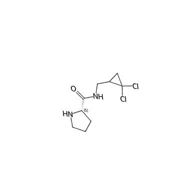 O=C(NCC1CC1(Cl)Cl)[C@@H]1CCCN1